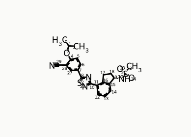 CC(C)Oc1ccc(-c2nc(-c3cccc4c3CC[C@@H]4NS(C)(=O)=O)ns2)cc1C#N